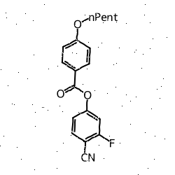 CCCCCOc1ccc(C(=O)Oc2ccc(C#N)c(F)c2)cc1